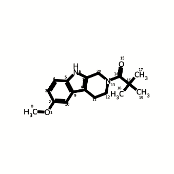 COc1ccc2[nH]c3c(c2c1)CCN(C(=O)C(C)(C)C)C3